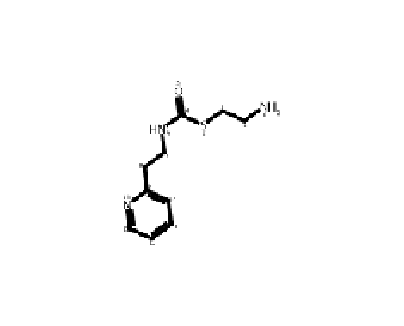 NCCSC(=O)NCCc1ccccn1